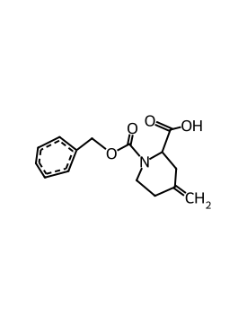 C=C1CCN(C(=O)OCc2ccccc2)C(C(=O)O)C1